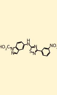 O=C(O)n1ncc2cc(Nc3nc(-c4cccc([N+](=O)[O-])c4)ns3)ccc21